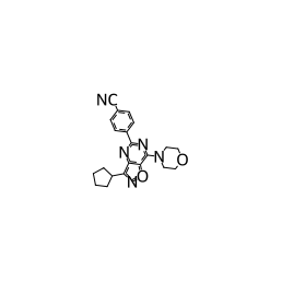 N#Cc1ccc(-c2nc(N3CCOCC3)c3onc(C4CCCC4)c3n2)cc1